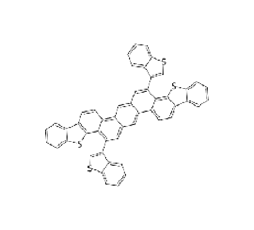 c1ccc2c(-c3cc4cc5c(cc(-c6csc7ccccc67)c6c5ccc5c7ccccc7sc56)cc4c4ccc5c6ccccc6sc5c34)csc2c1